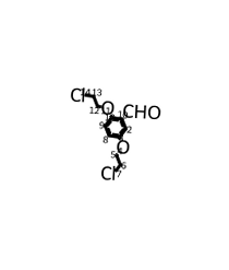 O=Cc1cc(OCCCl)ccc1OCCCl